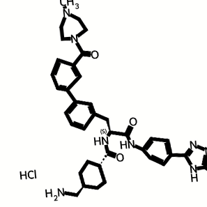 CN1CCN(C(=O)c2cccc(-c3cccc(C[C@H](NC(=O)[C@H]4CC[C@H](CN)CC4)C(=O)Nc4ccc(-c5nnc(Cl)[nH]5)cc4)c3)c2)CC1.Cl